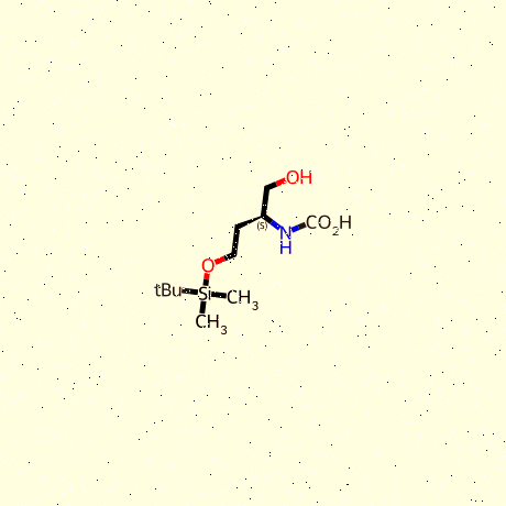 CC(C)(C)[Si](C)(C)OCC[C@@H](CO)NC(=O)O